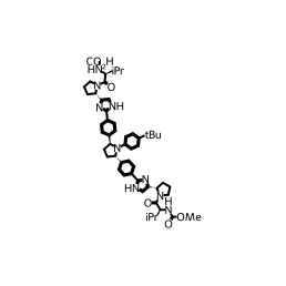 COC(=O)N[C@H](C(=O)N1CCC[C@H]1c1c[nH]c(-c2ccc([C@@H]3CC[C@@H](c4ccc(-c5nc([C@@H]6CCCN6C(=O)[C@@H](NC(=O)O)C(C)C)c[nH]5)cc4)N3c3ccc(C(C)(C)C)cc3)cc2)n1)C(C)C